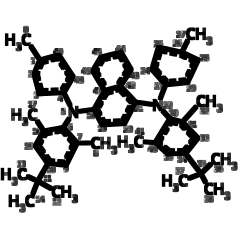 Cc1ccc(N(c2c(C)cc(C(C)(C)C)cc2C)c2ccc(N(c3ccc(C)cc3)c3c(C)cc(C(C)(C)C)cc3C)c3ccccc23)cc1